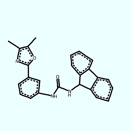 Cc1nc(-c2cccc(NC(=O)NC3c4ccccc4-c4ccccc43)c2)oc1C